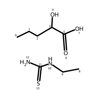 CCCC(O)C(=O)O.CCNC(N)=S